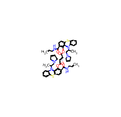 C=CCNC(=O)c1ccc2c(c1OC(=O)/C=C/C(=O)Oc1c(C(=O)NCC=C)ccc3c1N(C(C)CN1CC=CC1)c1ccccc1S3)N(C(C)CN1CC=CC1)c1ccccc1S2